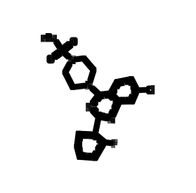 CCCCS(=O)(=O)N1CCN(c2nc(-c3ccccc3F)nc3cc(Cl)ccc23)CC1